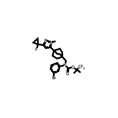 Cn1nc(C2(F)CC2)cc1C12CCC(CN(C(=O)OC(C)(C)C(F)(F)F)c3cccc(Br)c3)(CC1)CC2